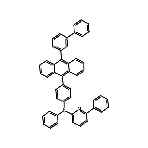 c1ccc(-c2cccc(-c3c4ccccc4c(-c4ccc(N(c5ccccc5)c5cccc(-c6ccccc6)n5)cc4)c4ccccc34)c2)cc1